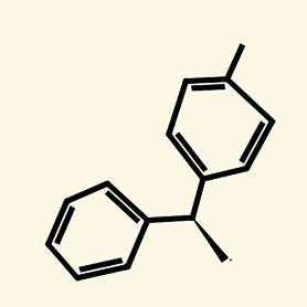 [CH2][C@@H](c1ccccc1)c1ccc(C)cc1